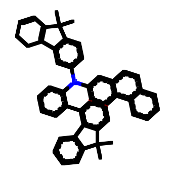 CC1(C)C2=C(CCC=C2)c2cc(N(c3ccc4c(ccc5ccccc54)c3)c3ccccc3-c3cccc4c3-c3ccccc3C4(C)C)ccc21